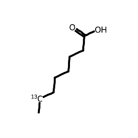 C[13CH2]CCCCCC(=O)O